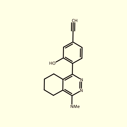 C#Cc1ccc(-c2nnc(NC)c3c2CCCC3)c(O)c1